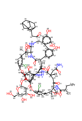 CC[C@H](CC(C)C)C(=O)N[C@H]1C(=O)C[C@@H](CC(N)=O)C(=O)N[C@H]2C(=O)C[C@H]3C(=O)N[C@H](C(=O)N[C@H](C(=O)CC4C5CC6CC(C5)CC4C6)c4cc(O)cc(O)c4-c4cc3ccc4O)[C@H](O)c3ccc(c(Cl)c3)Oc3cc2cc(c3O[C@@H]2O[C@H](CO)[C@@H](O)[C@H](O)[C@H]2O[C@H]2C[C@](C)(N)[C@H](O)[C@H](C)O2)Oc2ccc(cc2Cl)[C@H]1O